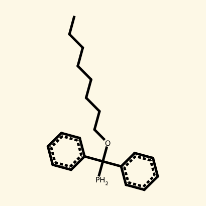 CCCCCCCCOC(P)(c1ccccc1)c1ccccc1